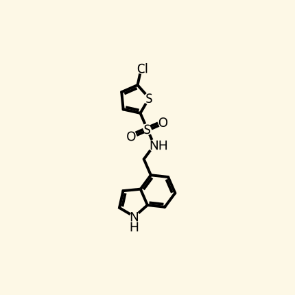 O=S(=O)(NCc1cccc2[nH]ccc12)c1ccc(Cl)s1